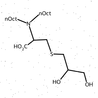 CCCCCCCCN(CCCCCCCC)C(CSCC(O)CO)C(=O)O